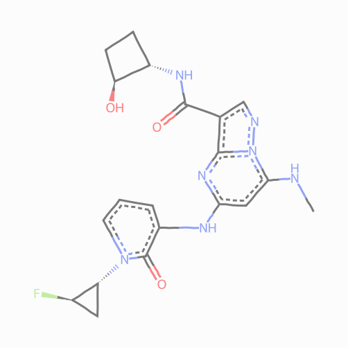 CNc1cc(Nc2cccn([C@@H]3C[C@H]3F)c2=O)nc2c(C(=O)N[C@H]3CC[C@@H]3O)cnn12